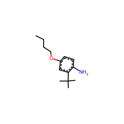 CCCCOc1ccc(N)c(C(C)(C)C)c1